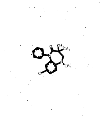 CN1CC(C)(C)C(=O)N(c2ccccc2)c2cc(Cl)ccc21